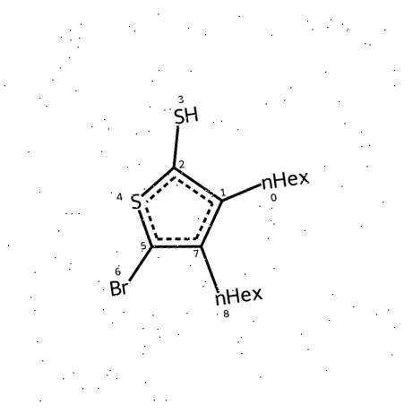 CCCCCCc1c(S)sc(Br)c1CCCCCC